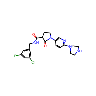 O=C(NCc1cc(F)cc(Cl)c1)C1CCN(c2ccc(N3CCNCC3)nc2)C1=O